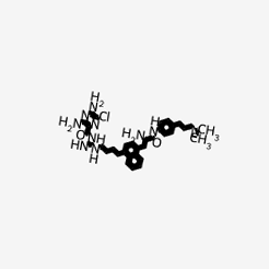 CN(C)CCCc1ccc(NC(=O)C(N)Cc2ccc(CCCCNC(=N)NC(=O)c3nc(Cl)c(N)nc3N)c3ccccc23)cc1